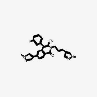 Cn1cc(C=CCn2c(C#N)c(-c3cccc(F)c3)c3cc(-c4cnn(C)c4)ccc3c2=O)cn1